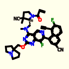 C#Cc1c(F)ccc2cc(C#N)cc(-c3ncc4c(N(C)C[C@H]5N(C(=O)C=C)CCC5(C)C#N)nc(OCC56CCCN5CCC6)nc4c3F)c12